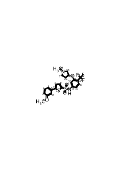 COc1cccc(-c2ccc(S(=O)(=O)Nc3ccc(C(F)(F)F)c(O[C@@H]4CCN(C)C4)c3)s2)c1